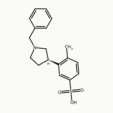 Cc1ccc(S(=O)(=O)O)cc1[C@H]1CCN(Cc2ccccc2)C1